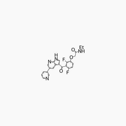 CCNC(=O)COc1ccc(F)c(C(=O)c2c[nH]c3ncc(-c4cccnc4)cc23)c1F